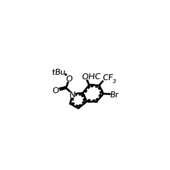 CC(C)(C)OC(=O)n1ccc2cc(Br)c(C(F)(F)F)c(C=O)c21